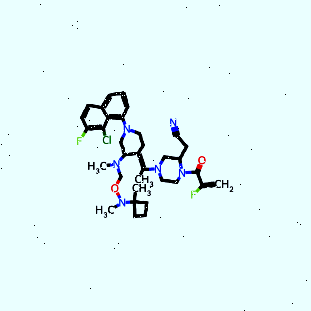 C=C(F)C(=O)N1CCN(/C(C)=C2\CCN(c3cccc4ccc(F)c(Cl)c34)CC2N(C)CON(C)C2(C)CCC2)CC1CC#N